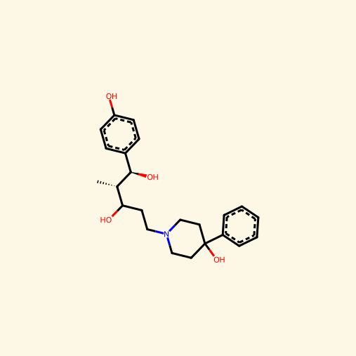 C[C@@H](C(O)CCN1CCC(O)(c2ccccc2)CC1)[C@H](O)c1ccc(O)cc1